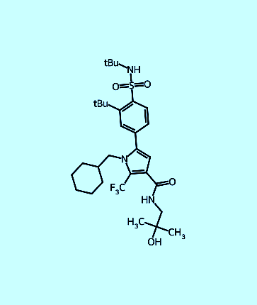 CC(C)(O)CNC(=O)c1cc(-c2ccc(S(=O)(=O)NC(C)(C)C)c(C(C)(C)C)c2)n(CC2CCCCC2)c1C(F)(F)F